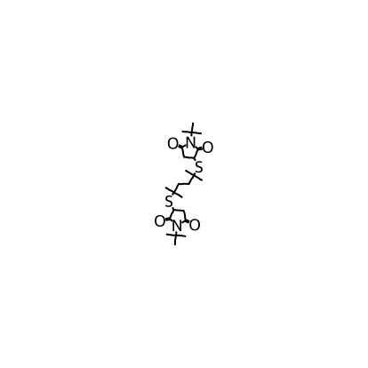 CC(C)(CCC(C)(C)SC1CC(=O)N(C(C)(C)C)C1=O)SC1CC(=O)N(C(C)(C)C)C1=O